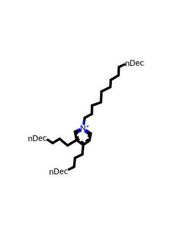 CCCCCCCCCCCCCCCCCCC[n+]1ccc(CCCCCCCCCCCCC)c(CCCCCCCCCCCCC)c1